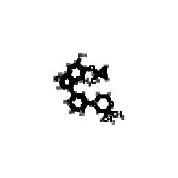 CC1(C)CN(c2cc(-c3n[nH]c4cc(F)c(OC5(C)CC5)cc34)ncn2)CCO1